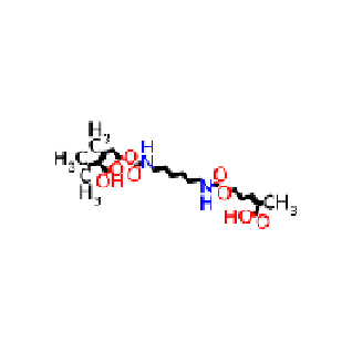 CC(=CCCOC(=O)NCCCCCCNC(=O)OCCC(C)=C(C(=O)O)C(C)C)C(=O)O